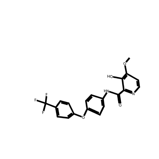 COc1ccnc(C(=O)Nc2ccc(Oc3ccc(C(F)(F)F)cc3)cc2)c1O